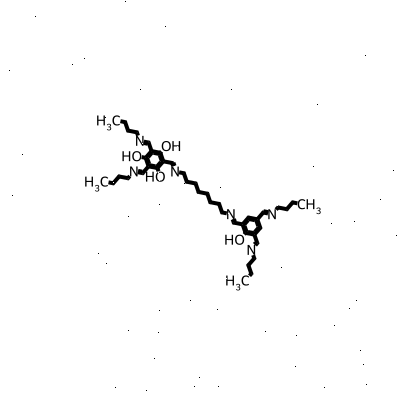 CCCC/N=C/c1cc(/C=N/CCCC)c(O)c(/C=N/CCCCCCCC/N=C/c2c(O)c(/C=N/CCCC)c(O)c(/C=N/CCCC)c2O)c1